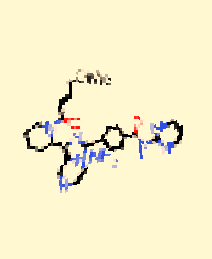 COC/C=C/C(=O)N1CCCCC1C1=C2C=NC=C[N+]2(N)C(c2ccc(C(=O)Nc3ncccn3)cc2)=N1